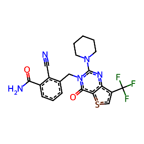 N#Cc1c(Cn2c(N3CCCCC3)nc3c(C(F)(F)F)csc3c2=O)cccc1C(N)=O